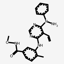 C=Cc1c(Nc2cc(C(=O)NOC)ccc2C)ncnc1N(N)c1ccccc1